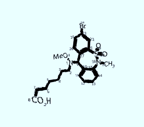 CON(CCCCCCC(=O)O)C1c2ccccc2N(C)S(=O)(=O)c2cc(Br)ccc21